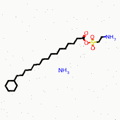 N.NCCS(=O)(=O)OC(=O)CCCCCCCCCCCCCCCC1CCCCC1